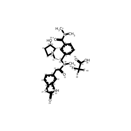 CN(C)C(=O)c1cccc([C@@H](CN2CC[C@H](O)C2)N(C)C(=O)Cc2ccc3sc(=O)[nH]c3c2)c1.O=C(O)C(F)(F)F